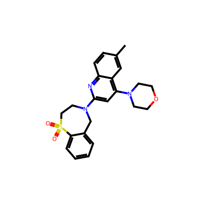 Cc1ccc2nc(N3CCS(=O)(=O)c4ccccc4C3)cc(N3CCOCC3)c2c1